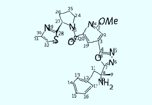 COc1cc(-c2nnc([C@](C)(N)Cc3ccccc3)o2)cc(C(=O)N2CCC[C@@H]2c2nc(C)cs2)n1